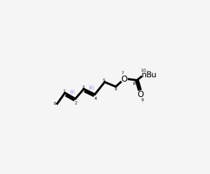 C/C=C/C=C/CCOC(=O)CCCC